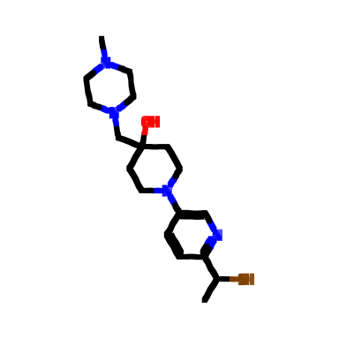 CC(S)c1ccc(N2CCC(O)(CN3CCN(C)CC3)CC2)cn1